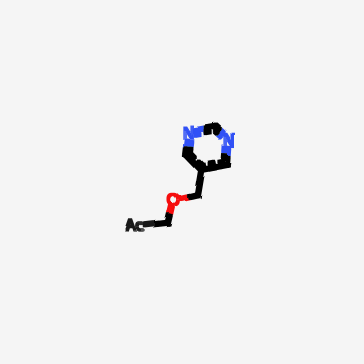 CC(=O)COCc1cncnc1